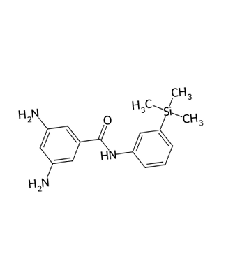 C[Si](C)(C)c1cccc(NC(=O)c2cc(N)cc(N)c2)c1